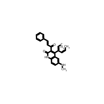 C/C=C\C(=C/C)c1c(C(=O)/C=C/c2ccccc2)c(=O)[nH]c2ccc(NC)cc12